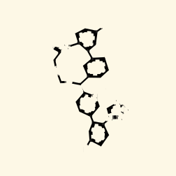 O=C1CCCC[C@H](c2ccc(-c3cc(F)ccc3-n3cnnn3)c[n+]2[O-])c2cccc(c2)-c2cc(F)ccc2N1